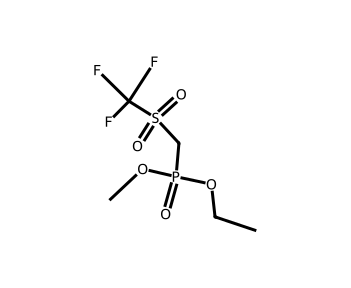 CCOP(=O)(CS(=O)(=O)C(F)(F)F)OC